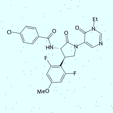 CCn1cncc(N2C[C@@H](c3c(F)cc(OC)cc3F)[C@H](NC(=O)c3ccc(Cl)cc3)C2=O)c1=O